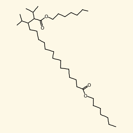 CCCCCCCOC(=O)CCCCCCCCCCCCCC(C(C)C)C(C(=O)OCCCCCCC)C(C)C